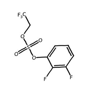 O=S(=O)(OCC(F)(F)F)Oc1cccc(F)c1F